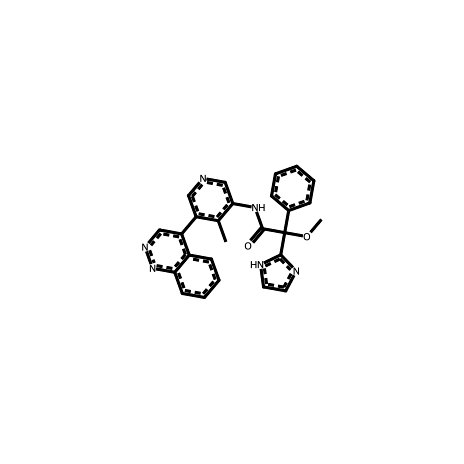 COC(C(=O)Nc1cncc(-c2cnnc3ccccc23)c1C)(c1ccccc1)c1ncc[nH]1